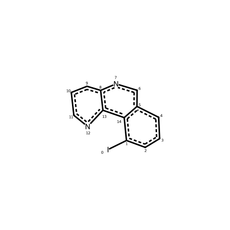 Ic1cccc2cnc3cccnc3c12